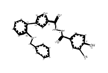 N#Cc1cc(C(=O)NNC(=O)c2cc(-c3ccccc3OCc3ccccc3)co2)ccc1O